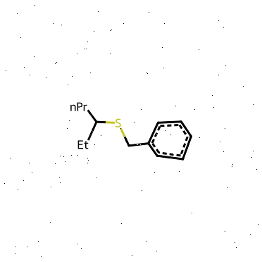 [CH2]CCC(C[CH2])SCc1ccccc1